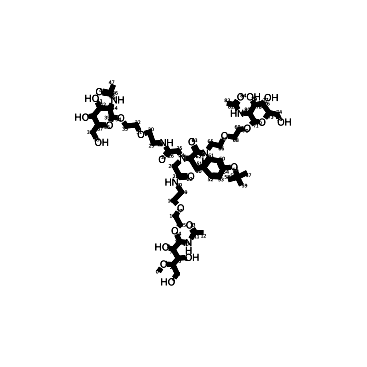 COC(CO)C(O)C(O)C(NC(C)=O)OCCOCCNC(=O)CN(CC(=O)NCCOCCOC1OC(CO)C(O)C(O)C1NC(C)=O)C(Cc1ccc(OC(C)(C)C)cc1)C(=O)NCCOCCOC1OC(CO)C(O)C(O)C1NC(C)=O